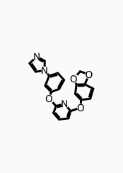 c1cc(Oc2cccc(Oc3ccc4c(c3)OCO4)n2)cc(-n2ccnc2)c1